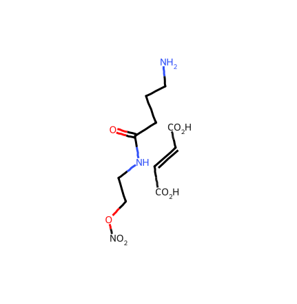 NCCCC(=O)NCCO[N+](=O)[O-].O=C(O)C=CC(=O)O